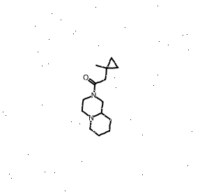 CC1(CC(=O)N2CCN3CCCCC3C2)CC1